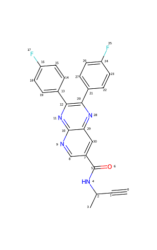 C#CC(C)NC(=O)c1cnc2nc(-c3ccc(F)cc3)c(-c3ccc(F)cc3)nc2c1